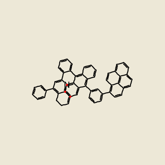 C1=Cc2nc(-c3ccccc3-c3c4ccccc4c(-c4cccc(-c5ccc6ccc7cccc8ccc5c6c78)c4)c4ccccc34)cc(-c3ccccc3)c2CC1